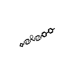 Cc1ccc(-c2ccc(N3CCN(CC(=O)N4CCN(C5CCC5)CC4)CC3)cc2)cc1